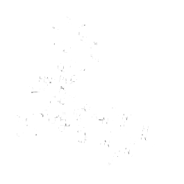 CNc1nc(C)nc2c1ncn2[C@@H]1O[C@](CCl)(CO[P@@](=O)(N[C@H](C)C(=O)OCC(C)(C)C)Oc2cccc3ccccc23)[C@@H](O)[C@@H]1F